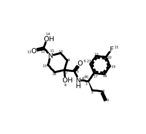 C=CC[C@@H](NC(=O)C1(O)CCN(C(=O)O)CC1)c1ccc(F)cc1